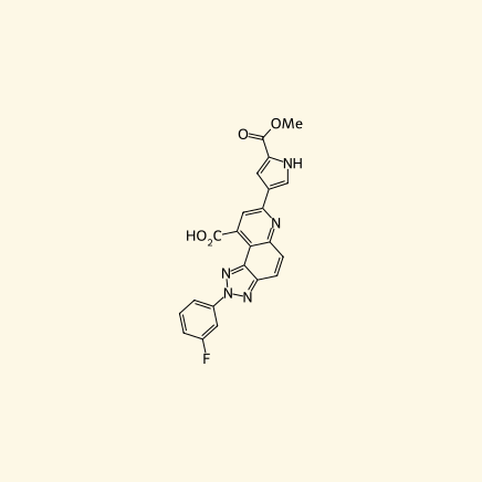 COC(=O)c1cc(-c2cc(C(=O)O)c3c(ccc4nn(-c5cccc(F)c5)nc43)n2)c[nH]1